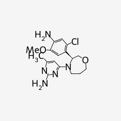 COc1cc([C@H]2COCCCN2c2cc(C)nc(N)n2)c(Cl)cc1N